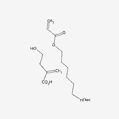 C=C(CCO)C(=O)O.C=CC(=O)OCCCCCCCCCCCCCCCC